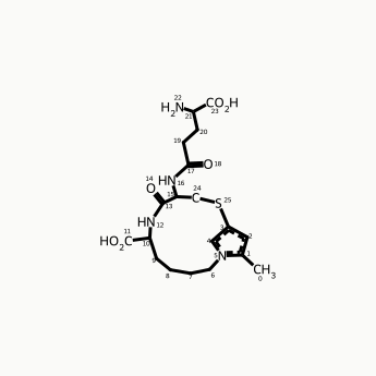 Cc1cc2cn1CCCCC(C(=O)O)NC(=O)C(NC(=O)CCC(N)C(=O)O)CS2